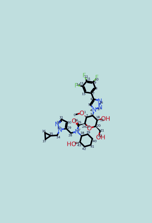 CO[C@@H]1[C@@H](n2cc(-c3cc(F)c(F)c(F)c3)nn2)[C@@H](O)[C@@H](CO)O[C@H]1C(=O)N(Cc1ccnn1CC1CC1)[C@H]1CCCC[C@@H]1O